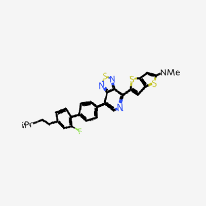 CNc1cc2sc(-c3ncc(-c4ccc(-c5ccc(CCC(C)C)cc5F)cc4)c4nsnc34)cc2s1